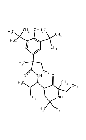 CCC1(C)NC(C)(C)CN(C(NC(=O)C(C)(CC)c2cc(C(C)(C)C)c(O)c(C(C)(C)C)c2)C(C)C)C1=O